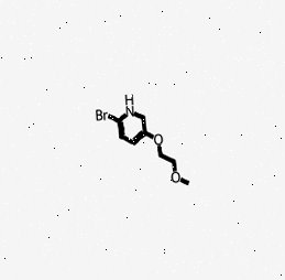 COCCOC1=CC=C(Br)NC1